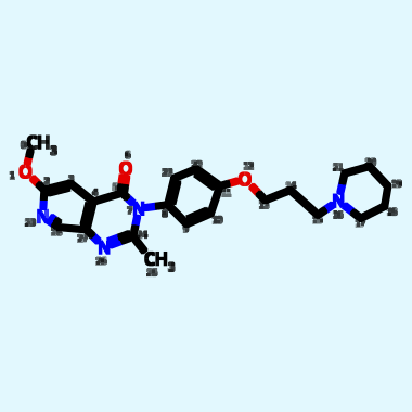 COc1cc2c(=O)n(-c3ccc(OCCCN4CCCCC4)cc3)c(C)nc2cn1